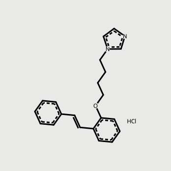 C(=Cc1ccccc1OCCCCn1ccnc1)c1ccccc1.Cl